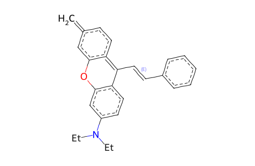 C=c1ccc2c(c1)Oc1cc(N(CC)CC)ccc1C=2/C=C/c1ccccc1